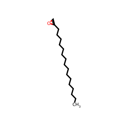 CCCCCCCCCCCCCCCCC1=CO1